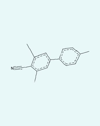 Cc1ccc(-c2cc(C)c(C#N)c(C)c2)cc1